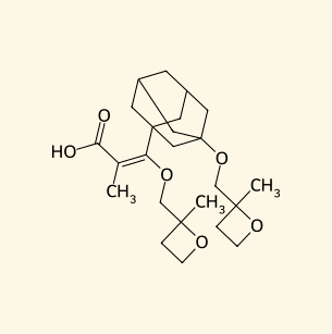 CC(C(=O)O)=C(OCC1(C)CCO1)C12CC3CC(CC(OCC4(C)CCO4)(C3)C1)C2